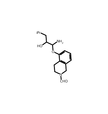 CC(C)CC(O)C(N)Oc1cccc2c1CCN(C=O)C2